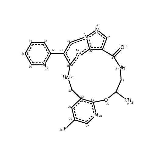 CC1CNC(=O)c2cnn3cc(-c4ccccn4)c(nc23)NCc2cc(F)cnc2O1